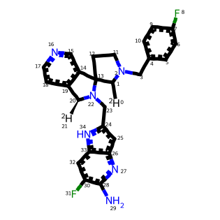 [2H]C1N(Cc2ccc(F)cc2)CCC12c1cnccc1[C@H]([2H])N2Cc1cc2nc(N)c(F)cc2[nH]1